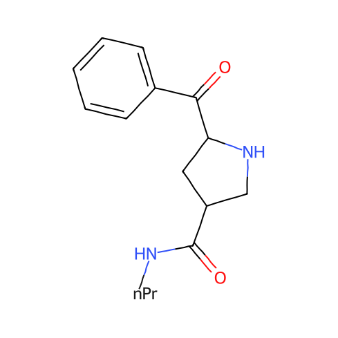 CCCNC(=O)C1CNC(C(=O)c2ccccc2)C1